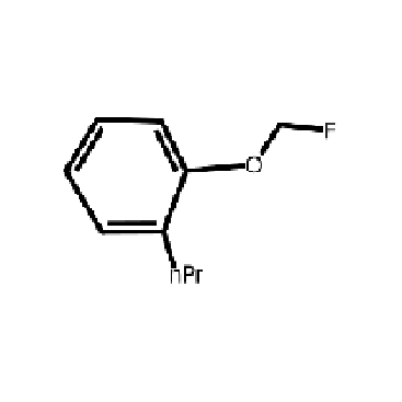 CCCc1ccccc1OCF